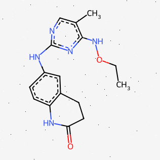 CCONc1nc(Nc2ccc3c(c2)CCC(=O)N3)ncc1C